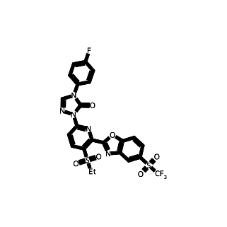 CCS(=O)(=O)c1ccc(-n2ncn(-c3ccc(F)cc3)c2=O)nc1-c1nc2cc(S(=O)(=O)C(F)(F)F)ccc2o1